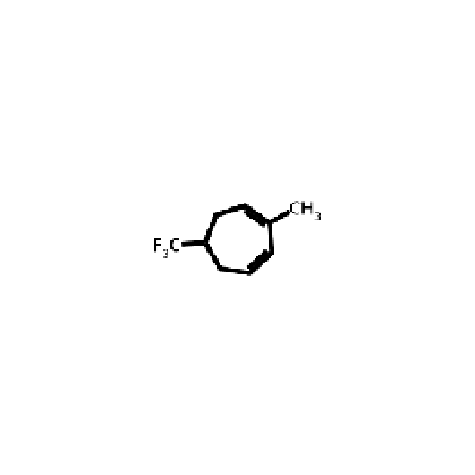 CC1=CCC(C(F)(F)F)CC=C1